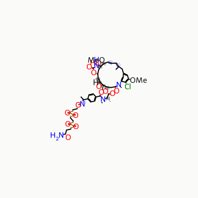 COc1cc2cc(c1Cl)N(C)C(=O)C[C@H](OC(=O)[C@H](C)N(C)C(=O)c1ccc(/C(C)=N/OCCS(=O)(=O)CCS(=O)(=O)CCC(N)=O)cc1)[C@]1(C)O[C@@H]1[C@H](C)C1C[C@@](O)(NC(=O)O1)[C@H](OC)/C=C/C=C(\C)C2